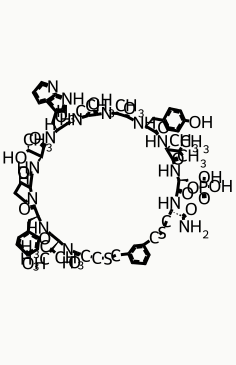 CC(C)[C@]1(C)NC(=O)[C@H](Cc2ccc(O)cc2)NC(=O)[C@H](C)NC(=O)C(C)(C)NC(=O)[C@H](Cc2c[nH]c3ncccc23)NC(=O)[C@H]([C@@H](C)O)NC(=O)[C@@H]2CCCN2C(=O)[C@H](Cc2ccc(O)cc2)NC(=O)[C@H](C(C)(C)C)NC(=O)CCSCc2cccc(c2)CSC[C@@H](C(N)=O)NC(=O)[C@H](COP(=O)(O)O)NC1=O